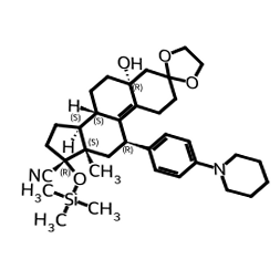 C[C@]12C[C@H](c3ccc(N4CCCCC4)cc3)C3=C4CCC5(C[C@]4(O)CC[C@H]3[C@@H]1CC[C@@]2(C#N)O[Si](C)(C)C)OCCO5